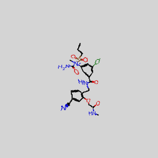 CCCS(=O)(=O)[N+](C)(C(N)=O)c1cc(Cl)cc(C(=O)NCc2ccc(C#N)cc2OCC(=O)NC)c1